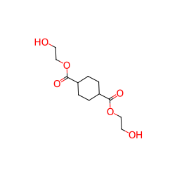 O=C(OCCO)C1CCC(C(=O)OCCO)CC1